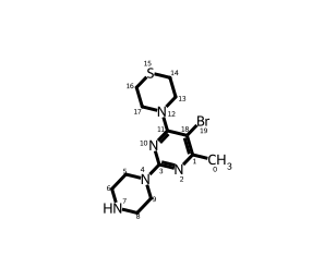 Cc1nc(N2CCNCC2)nc(N2CCSCC2)c1Br